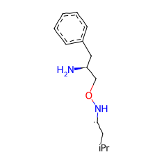 CC(C)C[CH]NOC[C@@H](N)Cc1ccccc1